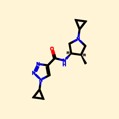 C[C@@H]1CN(C2CC2)C[C@@H]1NC(=O)c1cn(C2CC2)nn1